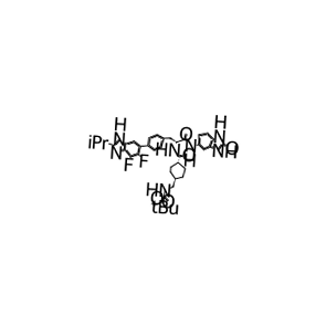 CC(C)c1nc2c(F)c(F)c(-c3ccc(C[C@H](NC(=O)[C@H]4CC[C@H](CNC(=O)OC(C)(C)C)CC4)C(=O)Nc4ccc5[nH]c(=O)[nH]c5c4)cc3)cc2[nH]1